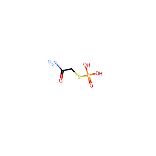 NC(=O)CSP(=O)(O)O